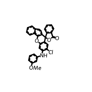 COc1cccc(Nc2cc3c(cc2Cl)C2(OC(=O)c4ccccc42)c2ccc4ccccc4c2O3)c1